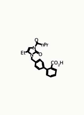 CCCC(=O)n1cc(CC)n(Cc2ccc(-c3ccccc3C(=O)O)cc2)c1=O